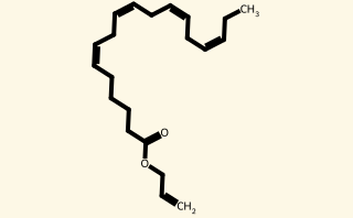 C=CCOC(=O)CCCC/C=C\C/C=C\C/C=C\C/C=C\CC